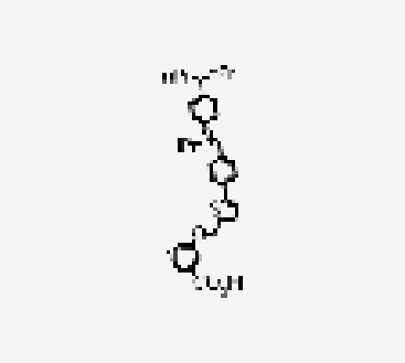 CCCC(CCC)c1ccc(N(Cc2ccc(-c3ccc(COc4cncc(C(=O)O)c4)s3)cc2)C(C)C)cc1